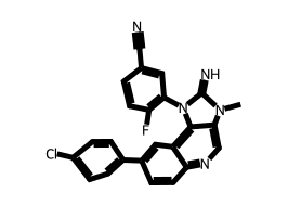 Cn1c(=N)n(-c2cc(C#N)ccc2F)c2c3cc(-c4ccc(Cl)cc4)ccc3ncc21